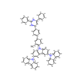 N#Cc1cc(-c2ccc(-c3cc(-c4ccccc4)nc(-c4ccccc4)n3)cc2)ccc1-n1c2ccc(-n3c4ccccc4c4ccccc43)cc2c2cc(-n3c4ccccc4c4ccccc43)ccc21